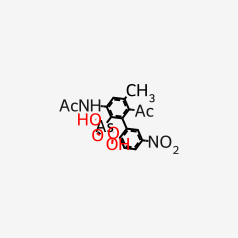 CC(=O)Nc1cc(C)c(C(C)=O)c(-c2cccc([N+](=O)[O-])c2)c1[As](=O)(O)OO